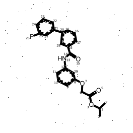 CC(C)OC(=O)COc1cccc(NC(=O)c2cccc(-c3cccc(F)c3)c2)c1